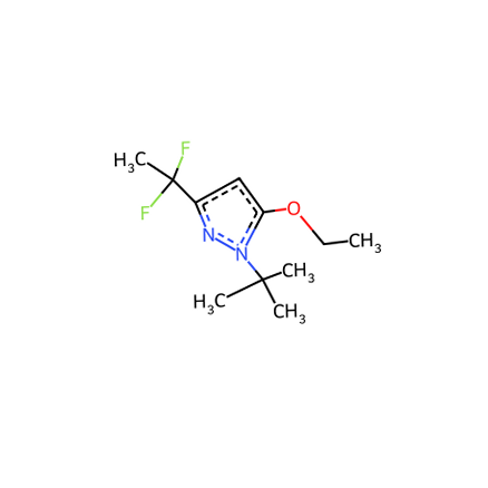 CCOc1cc(C(C)(F)F)nn1C(C)(C)C